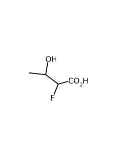 CC(O)C(F)C(=O)O